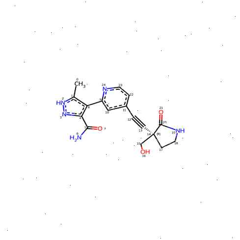 Cc1[nH]nc(C(N)=O)c1-c1cc(C#C[C@@]2(CO)CCNC2=O)ccn1